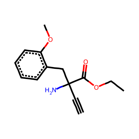 C#CC(N)(Cc1ccccc1OC)C(=O)OCC